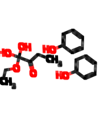 CCOC(O)(O)C(=O)CC.Oc1ccccc1.Oc1ccccc1